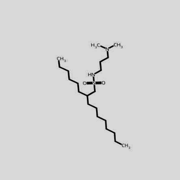 CCCCCCCCC(CCCCCC)CS(=O)(=O)NCCCN(C)C